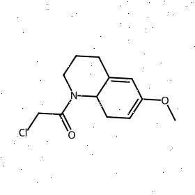 COC1=CCC2C(=C1)CCCN2C(=O)CCl